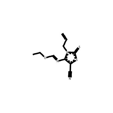 C=CCn1c(N=COCC)c(C#N)sc1=S